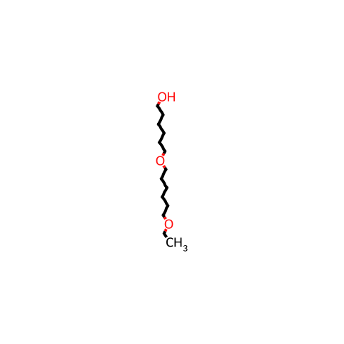 CCOCCCCCCOCCCCCCO